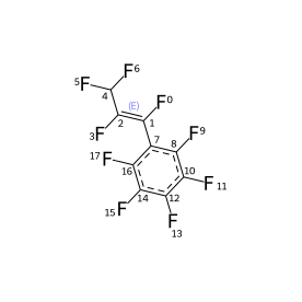 F/C(=C(/F)C(F)F)c1c(F)c(F)c(F)c(F)c1F